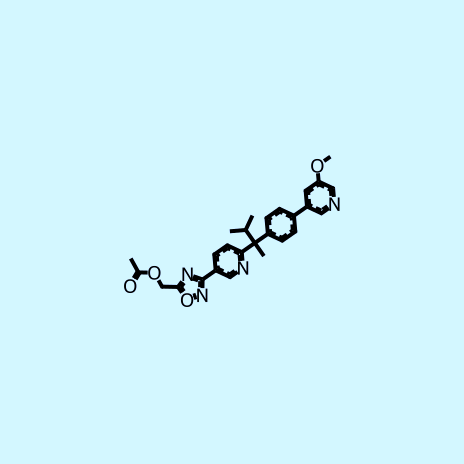 COc1cncc(-c2ccc(C(C)(c3ccc(-c4noc(COC(C)=O)n4)cn3)C(C)C)cc2)c1